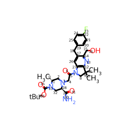 C[C@@H]1CN(CC(=O)N2CC(C)(C)c3nc(CO)c(Cc4ccc(F)cc4)cc32)[C@@H](C(N)=O)CN1C(=O)OC(C)(C)C